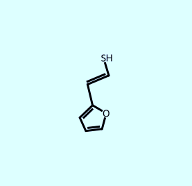 S/C=C/c1ccco1